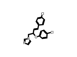 Clc1ccc(C=CC(Cn2ccnc2)Oc2ccc(Cl)cc2)cc1